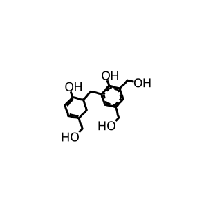 OCC1=CC=C(O)C(Cc2cc(CO)cc(CO)c2O)C1